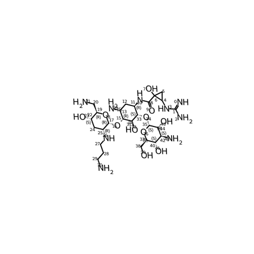 N=C(N)NC1CC1(O)C(=O)N[C@@H]1C[C@H](N)[C@@H](O[C@H]2O[C@H](CN)[C@@H](O)C[C@H]2NCCCN)[C@H](O)[C@H]1O[C@H]1O[C@H](CO)[C@@H](O)[C@H](N)[C@H]1O